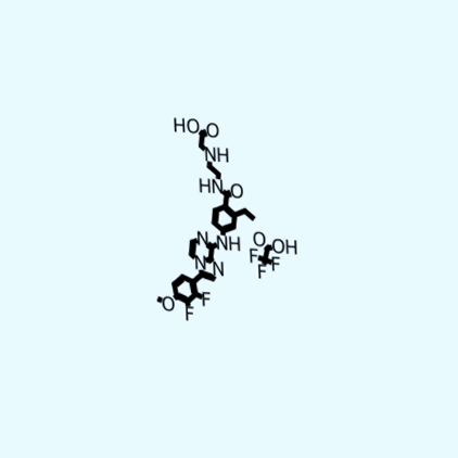 CCc1cc(Nc2nccn3c(-c4ccc(OC)c(F)c4F)cnc23)ccc1C(=O)NCCNCC(=O)O.O=C(O)C(F)(F)F